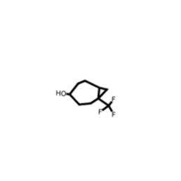 OC1CCC2CC2(C(F)(F)F)CC1